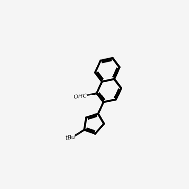 CC(C)(C)C1=CCC(c2ccc3ccccc3c2C=O)=C1